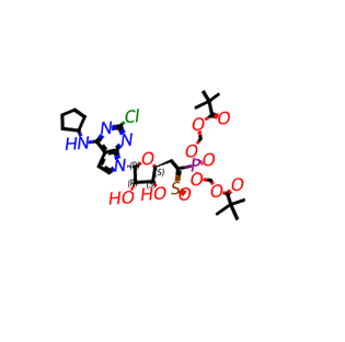 CC(C)(C)C(=O)OCOP(=O)(OCOC(=O)C(C)(C)C)C(C[C@@H]1O[C@@H](n2ccc3c(NC4CCCC4)nc(Cl)nc32)[C@H](O)[C@@H]1O)=S=O